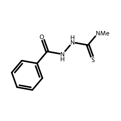 CNC(=S)NNC(=O)c1ccccc1